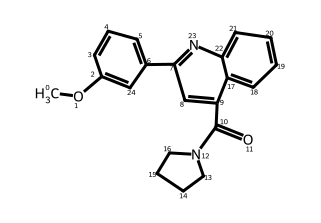 COc1cccc(-c2cc(C(=O)N3CCCC3)c3ccccc3n2)c1